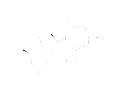 C#CC(F)(C(O)[C@H](C)CO)[C@@H](C)n1c(C)cc(N)nc1=O